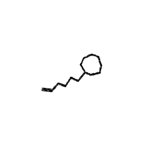 C=CCCCCC1CCCCCCC1